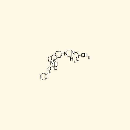 C=C(C)CN1CCN(c2ccc3c(c2)[C@@H]2CC3CCN2C(=O)OCc2ccccc2)CC1